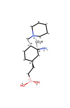 N[C@@]1(C(=O)O)C[C@@H](CCB(O)O)CC[C@@H]1CN1CCCCC1